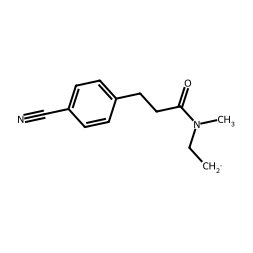 [CH2]CN(C)C(=O)CCc1ccc(C#N)cc1